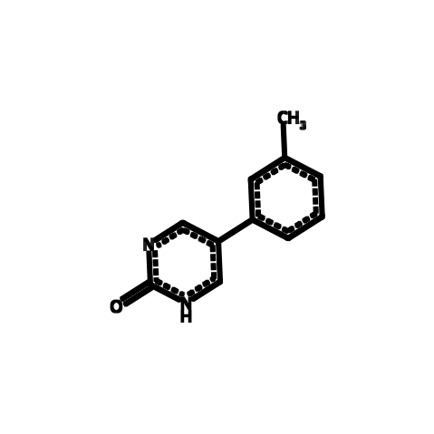 Cc1cccc(-c2cnc(=O)[nH]c2)c1